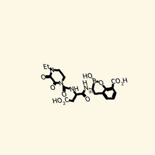 CCN1CCN(C(=O)NC(CC(=O)O)C(=O)N[C@H]2Cc3cccc(C(=O)O)c3OB2O)C(=O)C1=O